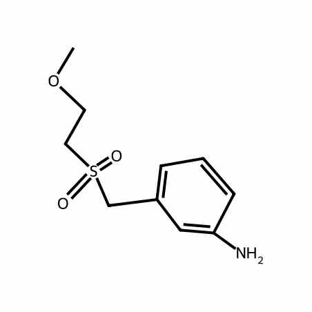 COCCS(=O)(=O)Cc1cccc(N)c1